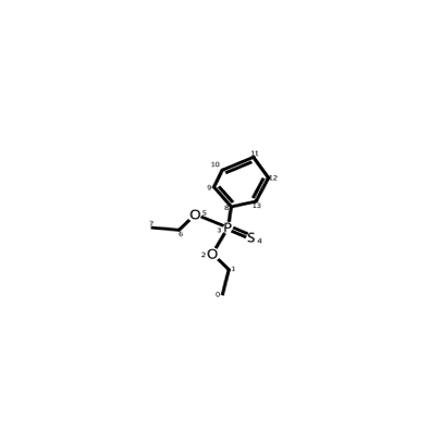 CCOP(=S)(OCC)c1ccccc1